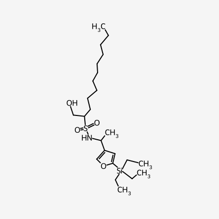 CCCCCCCCCCC(CO)S(=O)(=O)NC(C)c1coc([Si](CC)(CC)CC)c1